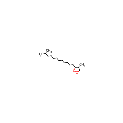 CC(C)CCCCCCCCCCC1OOCC1C